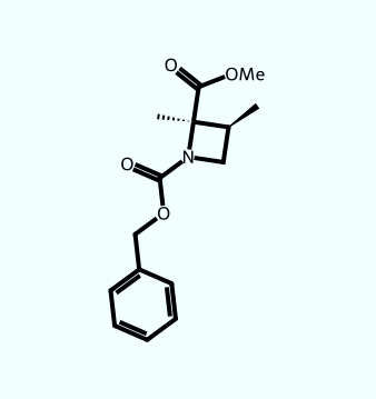 COC(=O)[C@@]1(C)[C@@H](C)CN1C(=O)OCc1ccccc1